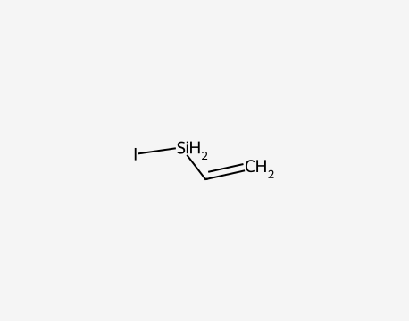 C=C[SiH2]I